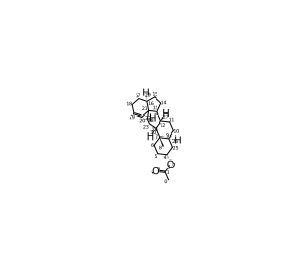 CC(=O)O[C@@H]1CC[C@@]2(C)[C@@H](CC[C@H]3[C@@H]4CC[C@@H]5CCC=CC54CC[C@@H]32)C1